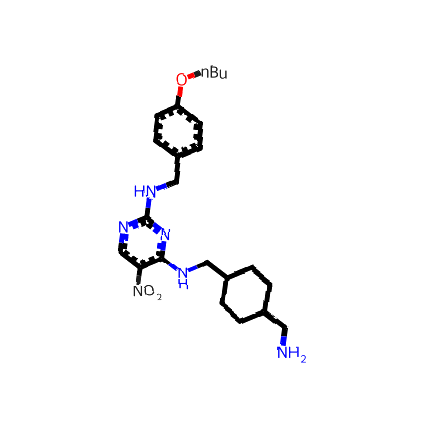 CCCCOc1ccc(CNc2ncc([N+](=O)[O-])c(NCC3CCC(CN)CC3)n2)cc1